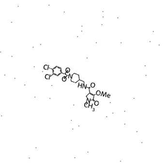 COC1=C(C(=O)NCC2CCN(S(=O)(=O)c3ccc(Cl)c(Cl)c3)CC2)CN(C)C1=O